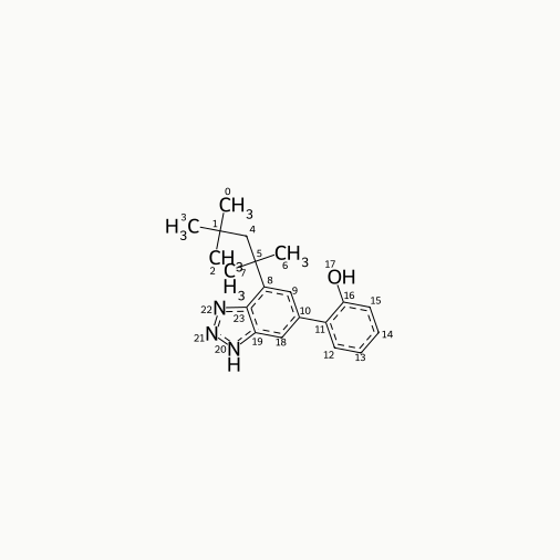 CC(C)(C)CC(C)(C)c1cc(-c2ccccc2O)cc2[nH]nnc12